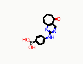 O=C1CCCCc2nc(Nc3ccc(B(O)O)cc3)ncc21